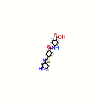 O=C(O)[C@H]1CC[C@H](NC(=O)[C@H]2CC[C@H](c3nc4c(s3)CCNCC4)CC2)CC1